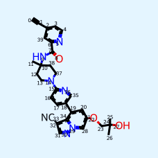 C#Cc1ccnc(C(=O)NC2(C)CCN(c3ccc(-c4cc(OCC(C)(C)O)cn5ncc(C#N)c45)cn3)CC2)c1